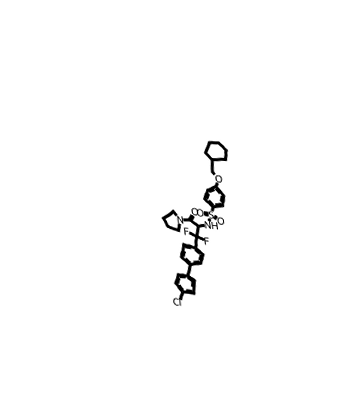 O=C(C(NS(=O)(=O)c1ccc(OCC2CCCCC2)cc1)C(F)(F)c1ccc(-c2ccc(Cl)cc2)cc1)N1CCCC1